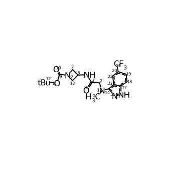 CN(CC(=O)NC1CN(C(=O)OC(C)(C)C)C1)c1n[nH]c2ccc(C(F)(F)F)cc12